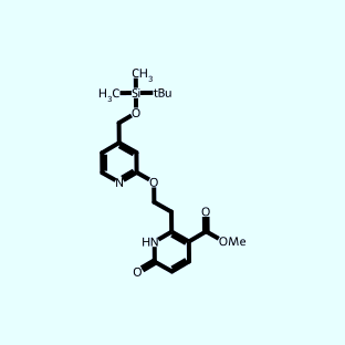 COC(=O)c1ccc(=O)[nH]c1CCOc1cc(CO[Si](C)(C)C(C)(C)C)ccn1